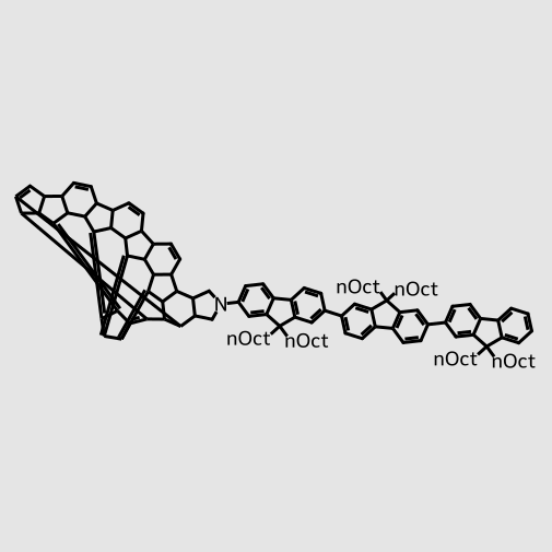 CCCCCCCCC1(CCCCCCCC)c2ccccc2-c2ccc(-c3ccc4c(c3)C(CCCCCCCC)(CCCCCCCC)c3cc(-c5ccc6c(c5)C(CCCCCCCC)(CCCCCCCC)c5cc(N7CC8C(C7)C7C9C=CC%10C%11C=CC%12C%13C=CC%14C%15C=C%16C%17C%18=C%19C%20=C(C%17%15)C%14C%13C%13=C%20C%14=C(C%11C%13%12)C%10C9C(=C%14%19)C7C%18C%168)ccc5-6)ccc3-4)cc21